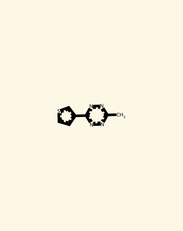 Cc1nnc(-c2ccsc2)nn1